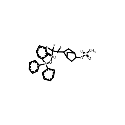 CS(=O)(=O)OC1CC2CC1CC2C(F)(F)C(F)(F)S(=O)(=O)OS(c1ccccc1)(c1ccccc1)c1ccccc1